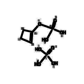 O=P(O)(O)O.O=P(O)(O)OC1=CCC1